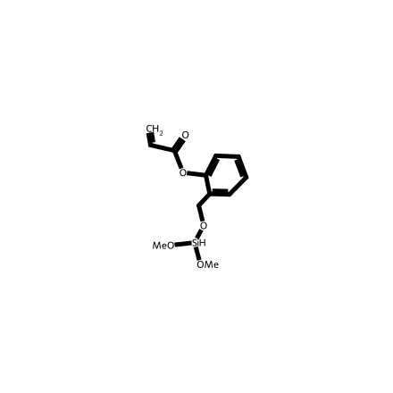 C=CC(=O)Oc1ccccc1CO[SiH](OC)OC